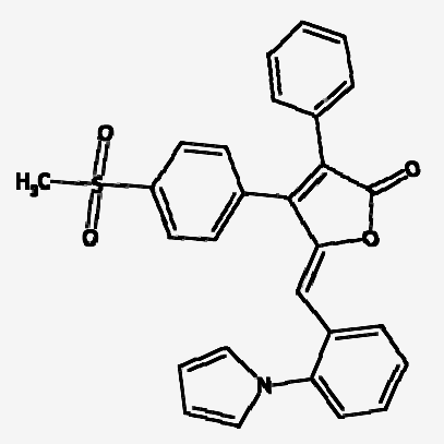 CS(=O)(=O)c1ccc(C2=C(c3ccccc3)C(=O)O/C2=C\c2ccccc2-n2cccc2)cc1